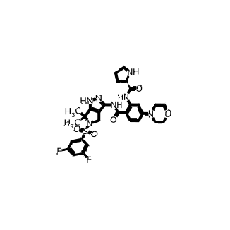 CC1(C)c2[nH]nc(NC(=O)c3ccc(N4CCOCC4)cc3NC(=O)[C@H]3CCCN3)c2CN1S(=O)(=O)c1cc(F)cc(F)c1